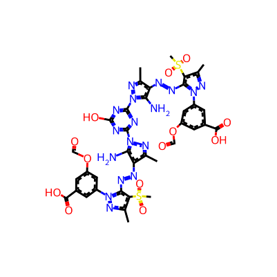 Cc1nn(-c2nc(O)nc(-n3nc(C)c(N=Nc4c(S(C)(=O)=O)c(C)nn4-c4cc(OC=O)cc(C(=O)O)c4)c3N)n2)c(N)c1N=Nc1c(S(C)(=O)=O)c(C)nn1-c1cc(OC=O)cc(C(=O)O)c1